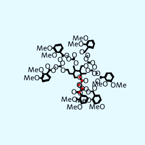 COc1cccc(C(=O)OOC(=O)OCCC(COC(=O)OOC(=O)c2cccc(OC)c2OC)C(COC(=O)OOC(=O)c2cccc(OC)c2OC)C(COC(=O)OOC(=O)c2cccc(OC)c2OC)C(CCOC(=O)OOC(=O)c2cccc(OC)c2OC)COC(=O)OOC(=O)c2cccc(OC)c2OC)c1OC